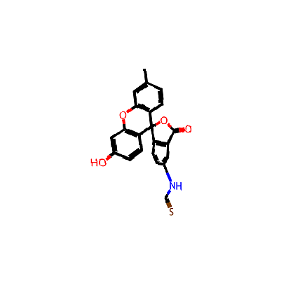 Cc1ccc2c(c1)Oc1cc(O)ccc1C21OC(=O)c2cc(NC=S)ccc21